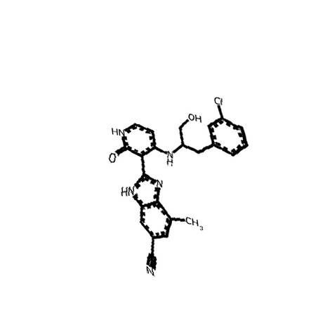 Cc1cc(C#N)cc2[nH]c(-c3c(NC(CO)Cc4cccc(Cl)c4)cc[nH]c3=O)nc12